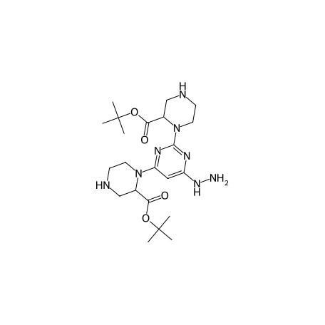 CC(C)(C)OC(=O)C1CNCCN1c1cc(NN)nc(N2CCNCC2C(=O)OC(C)(C)C)n1